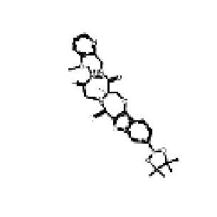 COc1cccnc1CNC(=O)[C@@]1(C)COc2c(oc3cc(B4OC(C)(C)C(C)(C)O4)ccc23)C(=O)N1CC(=O)N(C)C